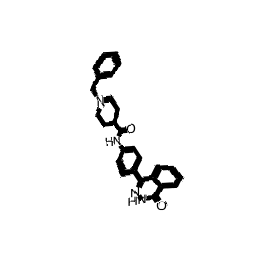 O=C(Nc1ccc(-c2n[nH]c(=O)c3ccccc23)cc1)C1CCN(Cc2ccccc2)CC1